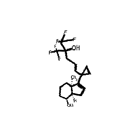 C[C@@]12CCC[C@H](O)[C@@H]1CC=C2C1(C=CCC(O)(C(F)(F)F)C(F)(F)F)CC1